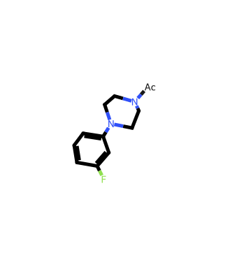 CC(=O)N1CCN(c2cccc(F)c2)CC1